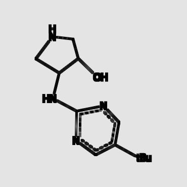 CC(C)(C)c1cnc(NC2CNCC2O)nc1